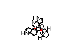 O=C(c1ccc2[nH]ccc2c1)N1[C@@H]2CC[C@H]1CN(c1ncnc3[nH]ccc13)C2